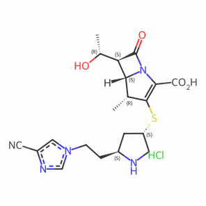 C[C@@H](O)[C@H]1C(=O)N2C(C(=O)O)=C(S[C@@H]3CN[C@@H](CCn4cnc(C#N)c4)C3)[C@H](C)[C@H]12.Cl